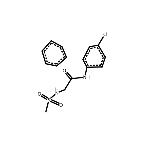 CS(=O)(=O)NCC(=O)Nc1ccc(Cl)cc1.c1ccccc1